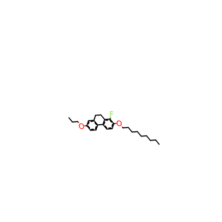 CCCCCCCCCOc1ccc2c(c1F)CCc1cc(OCCC)ccc1-2